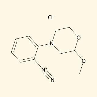 COC1CN(c2ccccc2[N+]#N)CCO1.[Cl-]